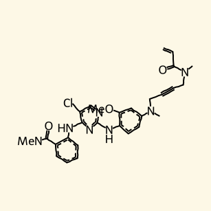 C=CC(=O)N(C)CC#CCN(C)c1ccc(Nc2ncc(Cl)c(Nc3ccccc3C(=O)NC)n2)c(OC)c1